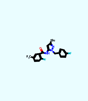 CC(C)(C)c1cc(NC(=O)c2cc(C(F)(F)F)ccc2F)n(Cc2ccc(F)cc2)n1